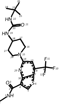 CNC(=O)c1csc2c(C(F)(F)F)cc(N3CCC(NC(=O)NC(C)(C)C)CC3)nc12